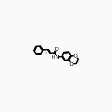 O=C(/C=C/c1ccccc1)Nc1ccc2c(c1)OCCO2